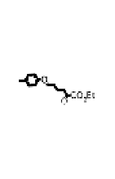 CCOC(=O)C(=O)CCCCOc1ccc(C)cc1